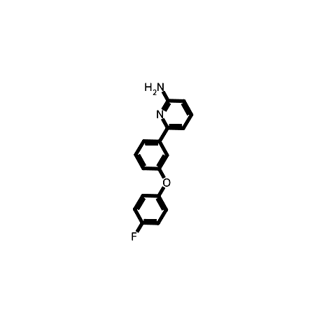 Nc1cccc(-c2cccc(Oc3ccc(F)cc3)c2)n1